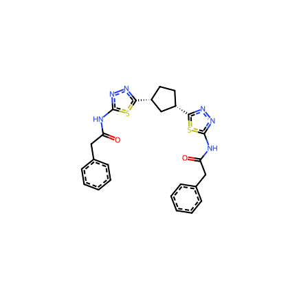 O=C(Cc1ccccc1)Nc1nnc([C@@H]2CC[C@H](c3nnc(NC(=O)Cc4ccccc4)s3)C2)s1